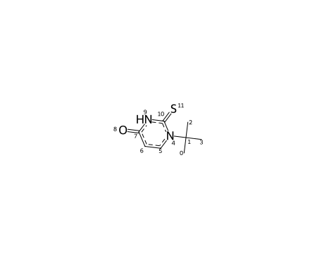 CC(C)(C)n1ccc(=O)[nH]c1=S